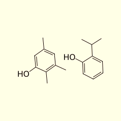 CC(C)c1ccccc1O.Cc1cc(C)c(C)c(O)c1